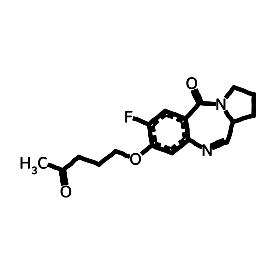 CC(=O)CCCOc1cc2c(cc1F)C(=O)N1CCCC1C=N2